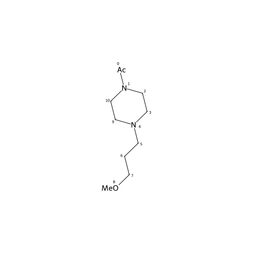 [CH2]C(=O)N1CCN(CCCOC)CC1